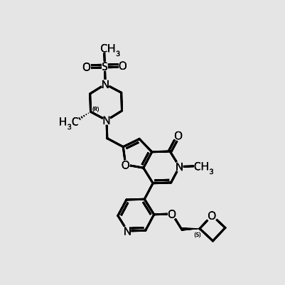 C[C@@H]1CN(S(C)(=O)=O)CCN1Cc1cc2c(=O)n(C)cc(-c3ccncc3OC[C@@H]3CCO3)c2o1